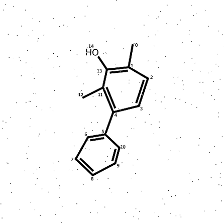 Cc1ccc(-c2ccccc2)c(C)c1O